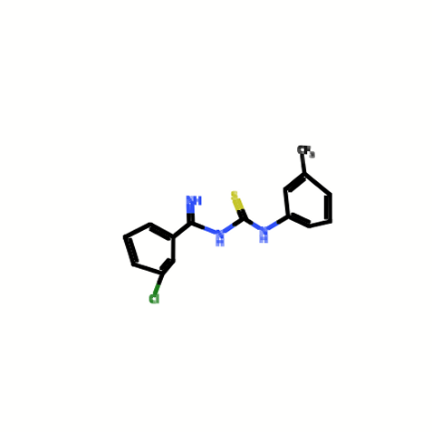 N=C(NC(=S)Nc1cccc(C(F)(F)F)c1)c1cccc(Cl)c1